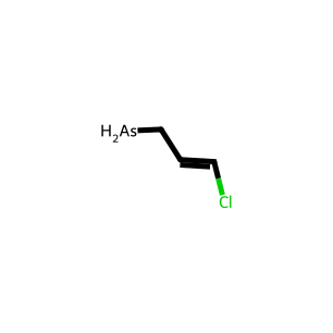 ClC=CC[AsH2]